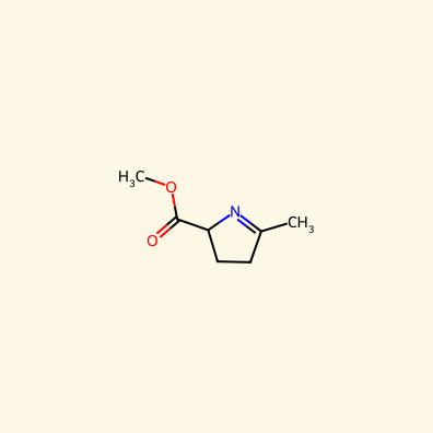 COC(=O)C1CCC(C)=N1